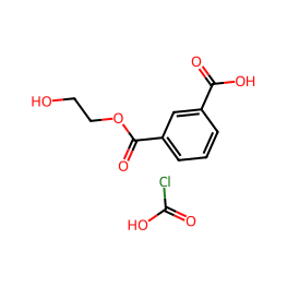 O=C(O)Cl.O=C(O)c1cccc(C(=O)OCCO)c1